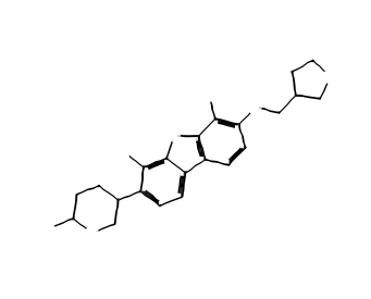 CCCC1CCC(c2ccc3c(oc4c(F)c(OCC5CCOC5)ccc43)c2F)CO1